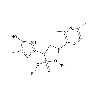 CCOP(=O)(OCC)C(CNc1ccc(C)nc1C)c1nc(C)c(O)[nH]1